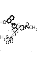 C=CC(=O)N1CCN(c2nc(OC[C@@H]3COC(=O)N3C)nc3c2CC[C@@H](c2cc(O)cc4ccccc24)C3)[C@@H](C)C1